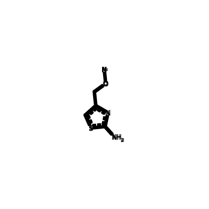 [N]OCc1csc(N)n1